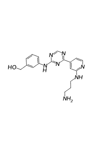 NCCCNc1cc(-c2ncnc(Nc3cccc(CO)c3)n2)ccn1